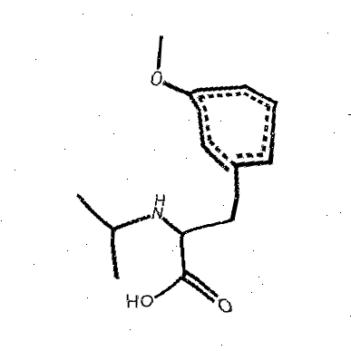 COc1cccc(CC(NC(C)C)C(=O)O)c1